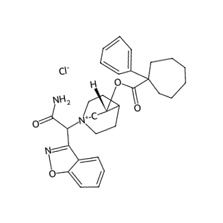 NC(=O)C(c1noc2ccccc12)[N+]12CCC(CC1)[C@@H](OC(=O)C1(c3ccccc3)CCCCCC1)C2.[Cl-]